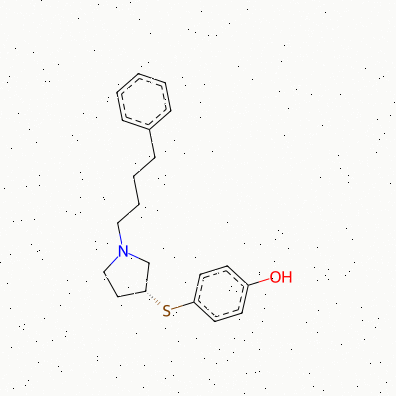 Oc1ccc(S[C@@H]2CCN(CCCCc3ccccc3)C2)cc1